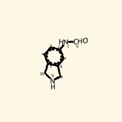 O=CNc1ccc2c(c1)CNC2